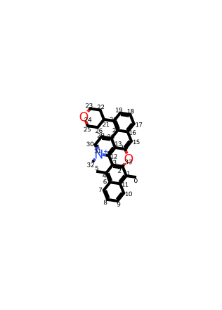 Cc1c2c(c(C)c3ccccc13)-c1c3c(cc4cccc(C5CCOCC5)c4c3cc[n+]1C)O2